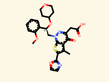 COc1ccccc1[C@H](Cn1nc(CC(=O)O)c(=O)c2c(C)c(-c3ncco3)sc21)OC1CCOCC1